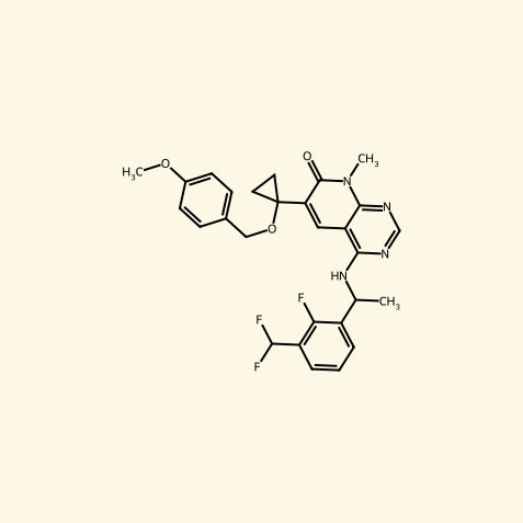 COc1ccc(COC2(c3cc4c(NC(C)c5cccc(C(F)F)c5F)ncnc4n(C)c3=O)CC2)cc1